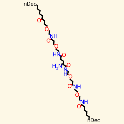 CCCCCCCCCCCCCCCC(=O)CCCOCCNC(=O)CCOCCNC(=O)CC[C@H](N)C(=O)NCCOCCC(=O)NCCOCCNC(=O)CCCCCCCCCCCCCCC